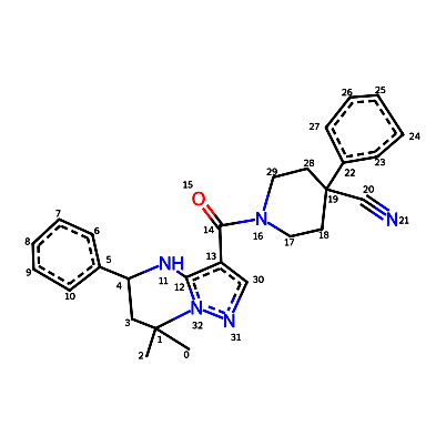 CC1(C)CC(c2ccccc2)Nc2c(C(=O)N3CCC(C#N)(c4ccccc4)CC3)cnn21